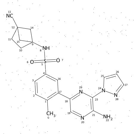 Cc1ccc(S(=O)(=O)NC23CCC(C#N)(C2)C3)cc1-c1cnc(N)c(-n2cccn2)n1